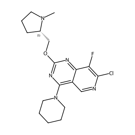 CN1CCC[C@H]1COc1nc(N2CCCCC2)c2cnc(Cl)c(F)c2n1